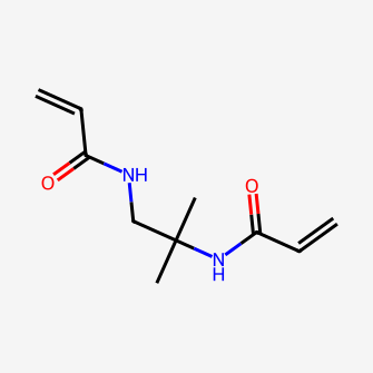 C=CC(=O)NCC(C)(C)NC(=O)C=C